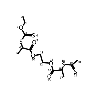 CCOC(=S)SC(C)C(=O)OCCOC(=O)C(C)SC(C)=S